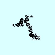 CNC(=O)N1CCc2c(c(N3CCCc4cc(-c5cnn(C)c5)c(C(F)F)cc43)nn2C2CCN(C(=O)CN3CCN(Cc4cccc5c4C(=O)N(C4CCC(=O)NC4=O)C5=O)CC3)CC2)C1